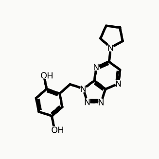 Oc1ccc(O)c(Cn2nnc3ncc(N4CCCC4)nc32)c1